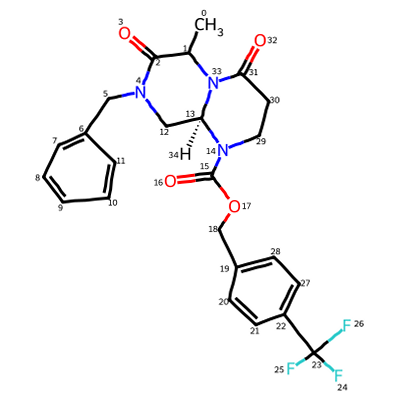 CC1C(=O)N(Cc2ccccc2)C[C@@H]2N(C(=O)OCc3ccc(C(F)(F)F)cc3)CCC(=O)N12